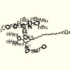 CCCCC1=C(c2cc(CC)cc(CC)c2)[N+](=[N-])C(c2cc(CCCC)cc(CCCC)c2)=C1CCCC.CCCCCCCCCCCCCCCCCCCCCCCCCCCCCCC(=C=[N+]=[N-])C(CCCCCC)=C(c1cc(CC)cc(CC)c1)c1cc(CCCCCC)cc(CCCCCC)c1.Cc1cc[c]([Pd][c]2ccc(C)cc2)cc1.c1ccc(C[O][Ni][O]Cc2ccccc2)cc1